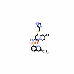 CCC1CCN(C(=O)[C@H](CCSCc2c[nH]cn2)NS(=O)(=O)c2cccc3cc(C)cnc23)CC1